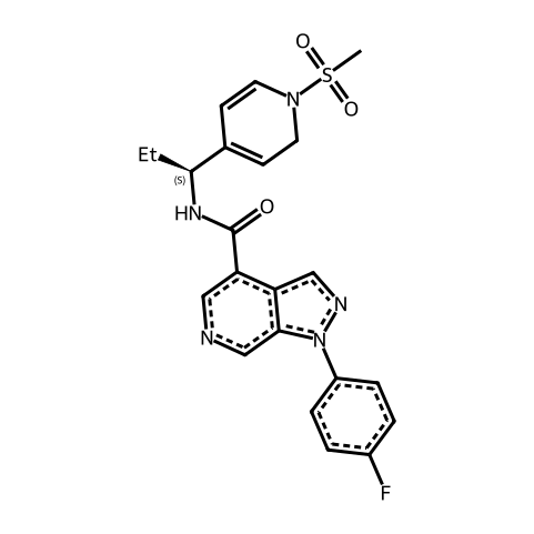 CC[C@H](NC(=O)c1cncc2c1cnn2-c1ccc(F)cc1)C1=CCN(S(C)(=O)=O)C=C1